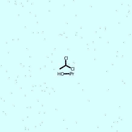 CC(C)O.CC(Cl)Cl